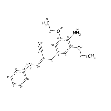 CCOc1cc(CC(C#N)=CNc2ccccc2)cc(OCC)c1N